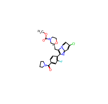 COC(=O)N1CCO[C@@H](Cc2c(-c3ccc(C(=O)N4CCCC4)cc3F)nc3cc(Cl)ccn23)C1